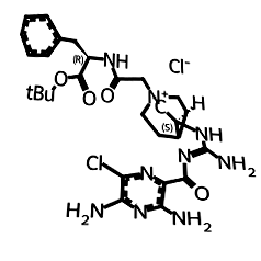 CC(C)(C)OC(=O)[C@@H](Cc1ccccc1)NC(=O)C[N+]12CCC(CC1)[C@H](NC(N)=NC(=O)c1nc(Cl)c(N)nc1N)C2.[Cl-]